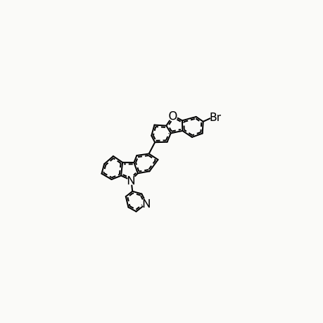 Brc1ccc2c(c1)oc1ccc(-c3ccc4c(c3)c3ccccc3n4-c3cccnc3)cc12